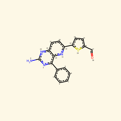 Nc1nc(-c2ccccc2)c2nc(-c3ccc(C=O)s3)ccc2n1